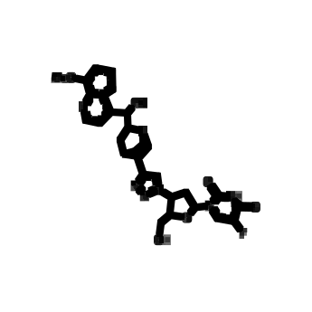 COc1cccc2c(C(O)C3CC4CCN3CC4c3cn(C4CC(n5cc(F)c(=O)[nH]c5=O)OC4CO)nn3)ccnc12